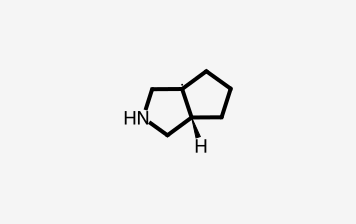 C1C[C]2CNC[C@H]2C1